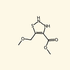 COCC1=C(C(=O)OC)NNS1